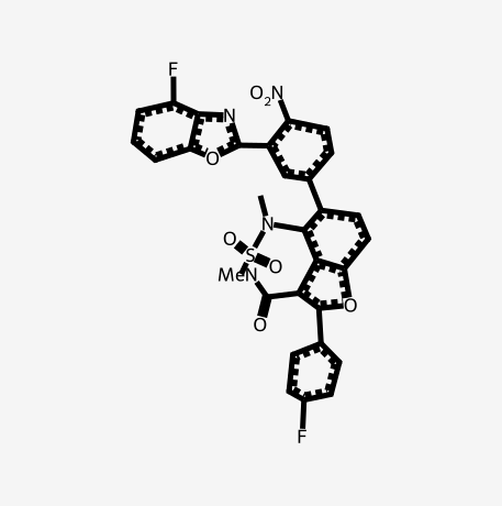 CNC(=O)c1c(-c2ccc(F)cc2)oc2ccc(-c3ccc([N+](=O)[O-])c(-c4nc5c(F)cccc5o4)c3)c(N(C)S(C)(=O)=O)c12